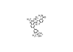 Cc1nc2ccc(-c3cnc(C(C)(C)O)nc3)cc2c(NC(C)c2cc(C(N)=O)ccc2F)c1Cl